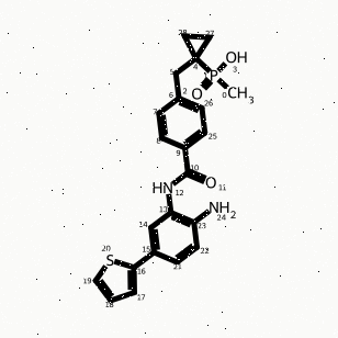 CP(=O)(O)C1(Cc2ccc(C(=O)Nc3cc(-c4cccs4)ccc3N)cc2)CC1